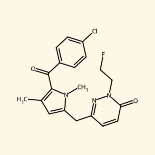 Cc1cc(Cc2ccc(=O)n(CCF)n2)n(C)c1C(=O)c1ccc(Cl)cc1